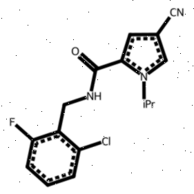 CC(C)n1cc(C#N)cc1C(=O)NCc1c(F)cccc1Cl